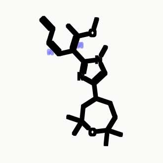 C=C/C=C\C(=C(/C)OC)c1nc(C2CCC(C)(C)OC(C)(C)C2)cn1C